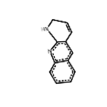 C1=Cc2cc3ccccc3nc2NC1